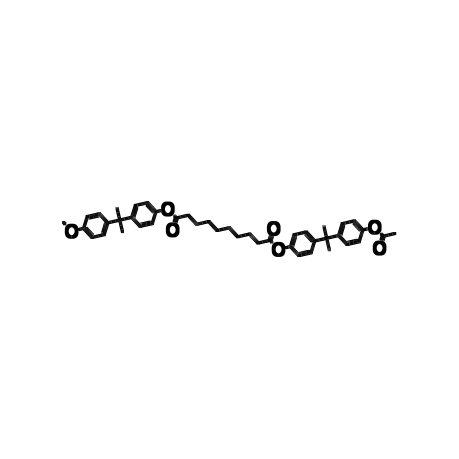 COc1ccc(C(C)(C)c2ccc(OC(=O)CCCCCCCCC(=O)Oc3ccc(C(C)(C)c4ccc(OC(C)=O)cc4)cc3)cc2)cc1